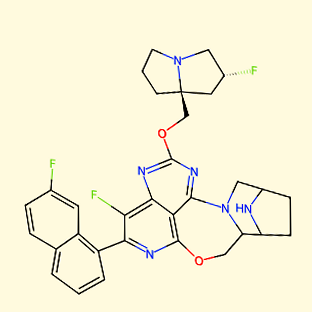 Fc1ccc2cccc(-c3nc4c5c(nc(OC[C@@]67CCCN6C[C@H](F)C7)nc5c3F)N3CC5CCC(N5)C3CO4)c2c1